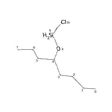 CCCCC(CCC)O[SiH2]Cl